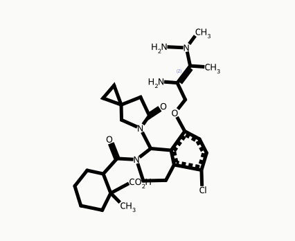 C/C(=C(/N)COc1ccc(Cl)c2c1C(N1CC3(CC3)CC1=O)N(C(=O)C1CCCCC1(C)C(=O)O)CC2)N(C)N